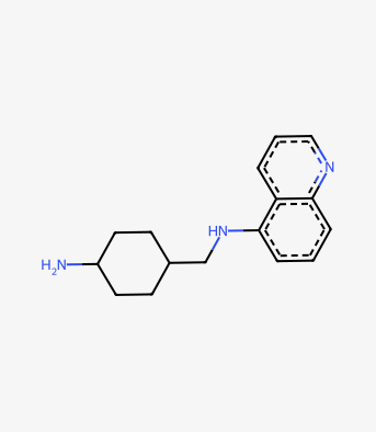 NC1CCC(CNc2cccc3ncccc23)CC1